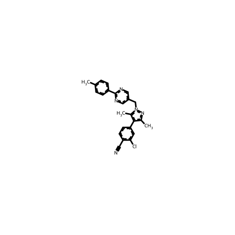 Cc1ccc(-c2ncc(Cn3nc(C)c(-c4ccc(C#N)c(Cl)c4)c3C)cn2)cc1